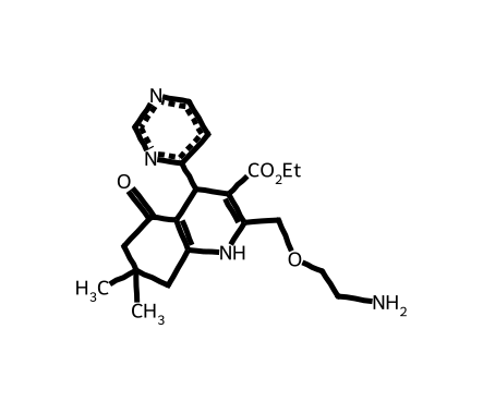 CCOC(=O)C1=C(COCCN)NC2=C(C(=O)CC(C)(C)C2)C1c1ccncn1